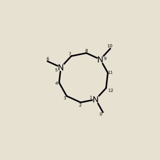 CN1CCCN(C)CCN(C)CC1